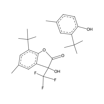 Cc1cc(C(C)(C)C)c2c(c1)C(O)(C(F)(F)F)C(=O)O2.Cc1ccc(O)c(C(C)(C)C)c1